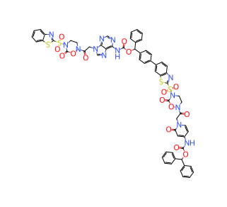 O=C(Nc1ccn(CC(=O)N2CCN(S(=O)(=O)c3nc4ccc(-c5ccc(C(OC(=O)Nc6ncnc7c6ncn7CC(=O)N6CCN(S(=O)(=O)c7nc8ccccc8s7)C(=O)O6)c6ccccc6)cc5)cc4s3)C(=O)O2)c(=O)c1)OC(c1ccccc1)c1ccccc1